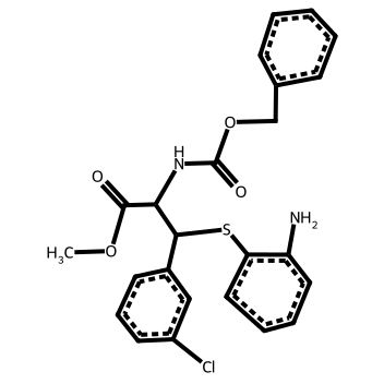 COC(=O)C(NC(=O)OCc1ccccc1)C(Sc1ccccc1N)c1cccc(Cl)c1